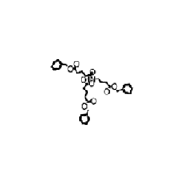 O=C(CCCNC(=O)C(CCC(=O)OCc1ccccc1)OC(=O)CCCC(=O)OCc1ccccc1)OCc1ccccc1